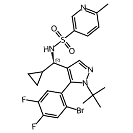 Cc1ccc(S(=O)(=O)N[C@@H](c2cnn(C(C)(C)C)c2-c2cc(F)c(F)cc2Br)C2CC2)cn1